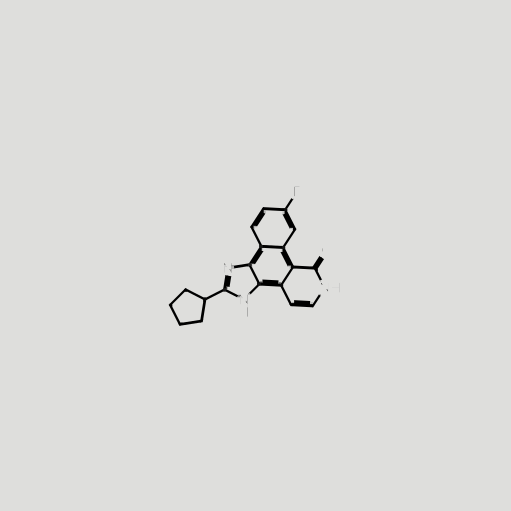 O=c1[nH]ccc2c3[nH]c(C4CCCC4)nc3c3ccc(F)cc3c12